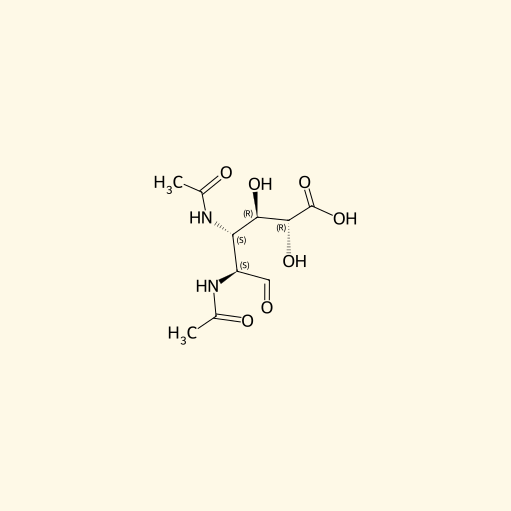 CC(=O)N[C@H]([C@@H](O)[C@@H](O)C(=O)O)[C@@H](C=O)NC(C)=O